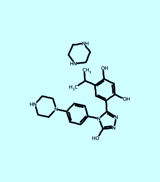 C1CNCCN1.CC(C)c1cc(-c2nnc(O)n2-c2ccc(N3CCNCC3)cc2)c(O)cc1O